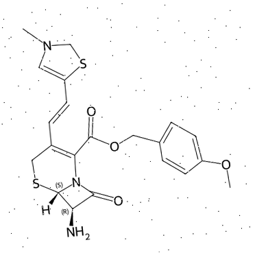 COc1ccc(COC(=O)C2=C(C=CC3=CN(C)CS3)CS[C@H]3[C@H](N)C(=O)N23)cc1